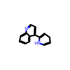 C1=CNC(c2ccnc3ccccc23)=CC1